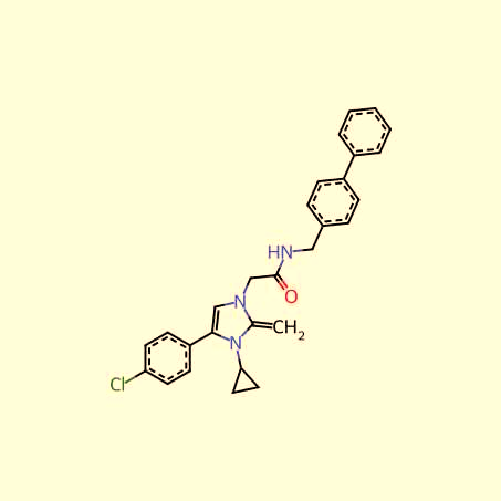 C=C1N(CC(=O)NCc2ccc(-c3ccccc3)cc2)C=C(c2ccc(Cl)cc2)N1C1CC1